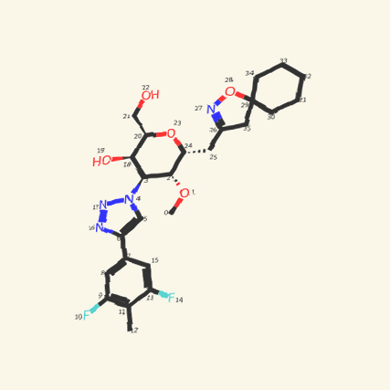 CO[C@@H]1[C@@H](n2cc(-c3cc(F)c(C)c(F)c3)nn2)[C@@H](O)[C@@H](CO)O[C@@H]1CC1=NOC2(CCCCC2)C1